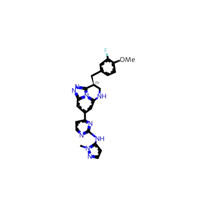 COc1ccc(C[C@H]2CNc3cc(-c4ccnc(Nc5ccnn5C)n4)cc4nnc2n34)cc1F